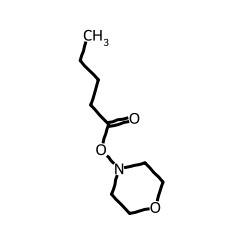 CCCCC(=O)ON1CCOCC1